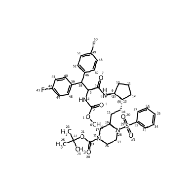 COC(=O)NC(C(=O)N[C@H]1CCC[C@@H]1CCC1CN(C(=O)OC(C)(C)C)CCN1S(=O)(=O)c1ccccc1)C(c1ccc(F)cc1)c1ccc(F)cc1